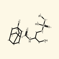 CC(C)OP(=O)(O)OCC(CO)NC(=O)[C@]12CC3CC(C[C@H](C3)C1)C2